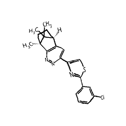 CC1(C)[C@H]2CC[C@]1(C)c1nnc(-c3csc(-c4cccc(Cl)c4)n3)cc12